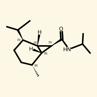 CC(C)NC(=O)[C@@H]1[C@@H]2[C@H]1[C@H](C)CC[C@H]2C(C)C